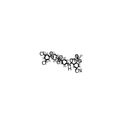 CN(c1ccc(C#N)cc1C(=O)Nc1ccc(S(=O)(=O)N2CC[N+]([O-])(c3cc(Cl)cc(Cl)c3)CC2)cc1)S(C)(=O)=O